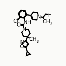 CC(CF)N1CC=C(c2cccc(Cl)c2NC(=O)N2CCC(C)(c3cc(C4CC4)on3)CC2)CC1